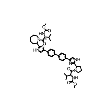 COC(=O)N[C@H](C(=O)N1CCCCCC1c1nc(-c2ccc(-c3ccc(-c4c[nH]c(C5CCCN5C(=O)[C@@H](NC(=O)OC)C(C)C)n4)cc3)cc2)c[nH]1)C(C)C